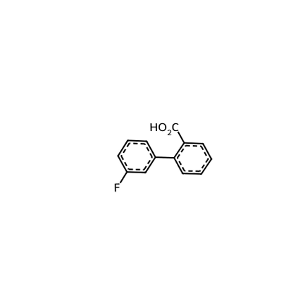 O=C(O)c1ccccc1-c1cccc(F)c1